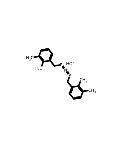 Cc1cccc(CP=[N+]=PCc2cccc(C)c2C)c1C.[OH-]